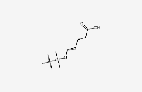 CC(C)(C)[Si](C)(C)OC=CCCC(=O)O